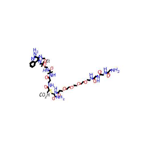 CCOCc1nc2c(N)nc3ccccc3c2n1CC(C)(C)OCCNC(=O)C(C)(C)NC(=O)CCNC(=O)C(CC(=O)O)SCC(NC(=O)CCOCCOCCOCCOCCNC(=O)CNC(=O)CNC(=O)CN)C(N)=O